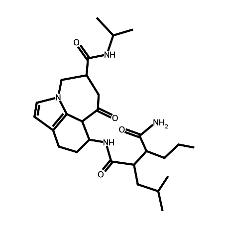 CCCC(C(N)=O)C(CC(C)C)C(=O)NC1CCc2ccn3c2C1C(=O)CC(C(=O)NC(C)C)C3